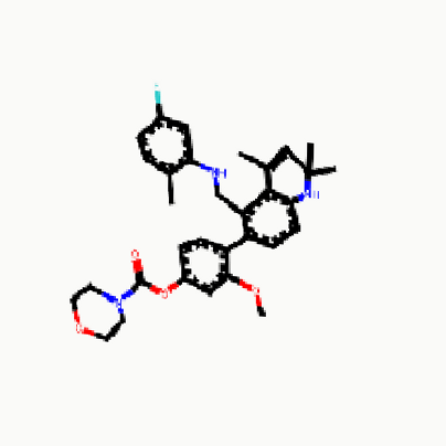 COc1cc(OC(=O)N2CCOCC2)ccc1-c1ccc2c(c1CNc1cc(F)ccc1C)C(C)=CC(C)(C)N2